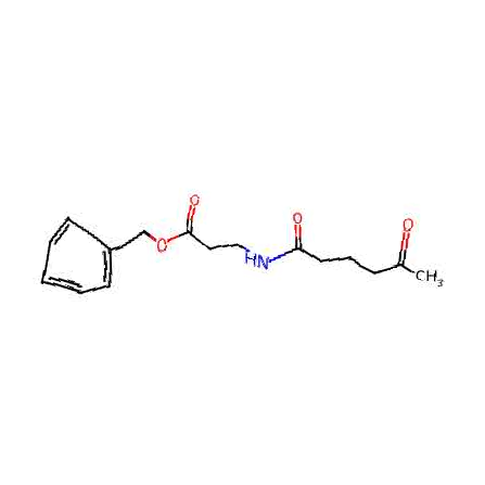 CC(=O)CCCC(=O)NCCC(=O)OCc1ccccc1